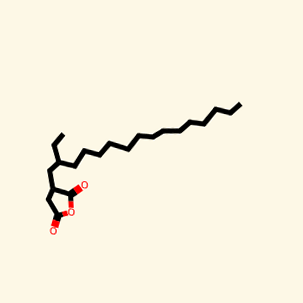 CCCCCCCCCCCCCCC(CC)CC1CC(=O)OC1=O